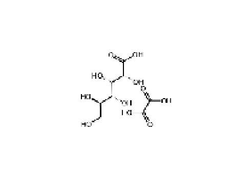 O=C(O)C(=O)O.O=C(O)[C@H](O)[C@@H](O)[C@H](O)[C@H](O)CO